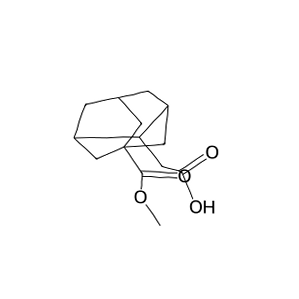 COC(=O)C12CC3CC(C1)C(CC(=O)O)C(C3)C2